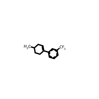 CC1CC=C(c2cccc(C(F)(F)F)c2)CC1